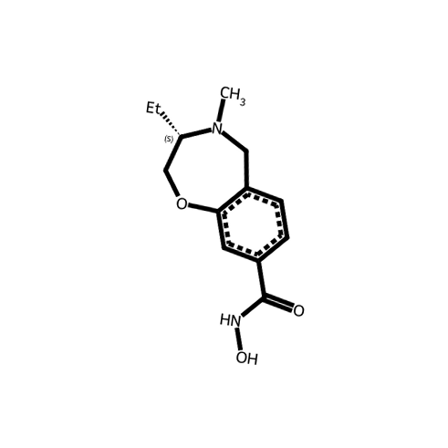 CC[C@H]1COc2cc(C(=O)NO)ccc2CN1C